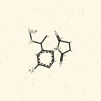 CC(OC(=O)O)c1cccc(C(F)(F)F)c1.O=C1CCC(=O)N1